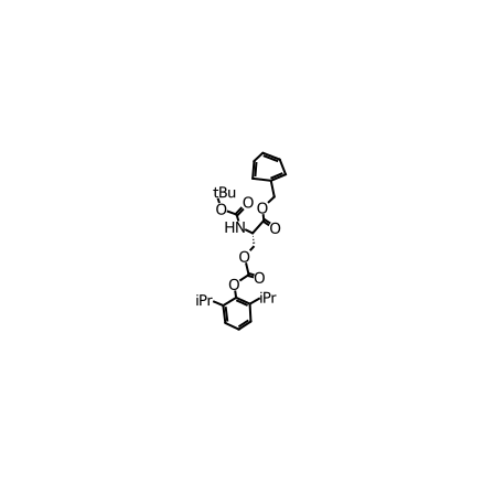 CC(C)c1cccc(C(C)C)c1OC(=O)OC[C@H](NC(=O)OC(C)(C)C)C(=O)OCc1ccccc1